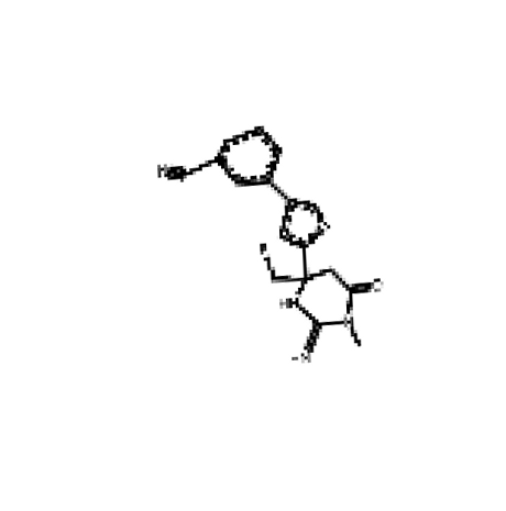 CN1C(=N)N[C@](CF)(c2cc(-c3cccc(C#N)c3)cs2)CC1=O